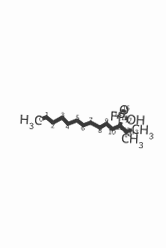 CCCCCCCCCCCC(C(C)C)P(=O)(O)F